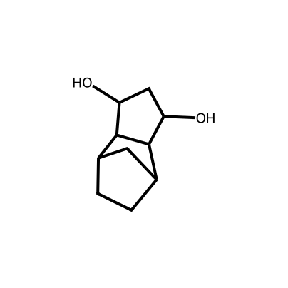 OC1CC(O)C2C3CCC(C3)C12